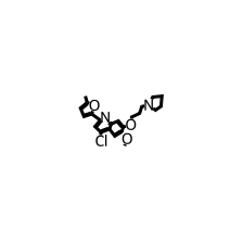 COc1cc2c(Cl)cc(-c3ccc(C)o3)nc2cc1OCCCN1CCCC1